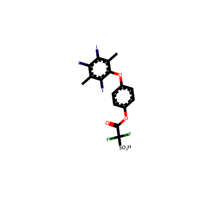 Cc1c(I)c(I)c(C)c(Oc2ccc(OC(=O)C(F)(F)S(=O)(=O)O)cc2)c1I